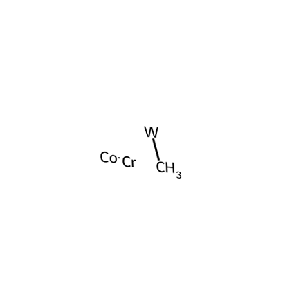 [CH3][W].[Co].[Cr]